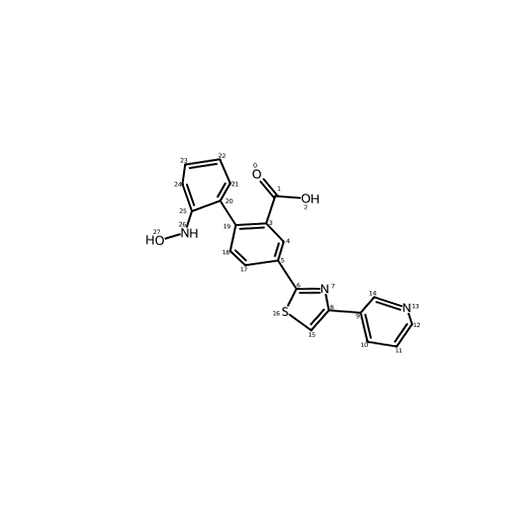 O=C(O)c1cc(-c2nc(-c3cccnc3)cs2)ccc1-c1ccccc1NO